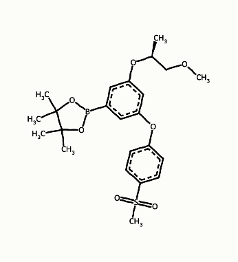 COC[C@H](C)Oc1cc(Oc2ccc(S(C)(=O)=O)cc2)cc(B2OC(C)(C)C(C)(C)O2)c1